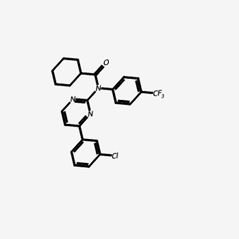 O=C(C1CCCCC1)N(c1ccc(C(F)(F)F)cc1)c1nccc(-c2cccc(Cl)c2)n1